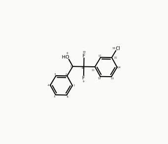 OC(c1ccccc1)C(F)(F)c1cccc(Cl)c1